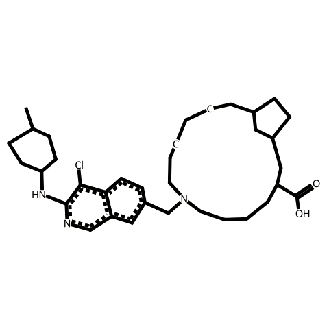 CC1CCC(Nc2ncc3cc(CN4CCCCCCC5CCC(C5)CC(C(=O)O)CCCC4)ccc3c2Cl)CC1